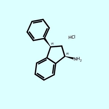 Cl.N[C@@H]1C[C@H](c2ccccc2)c2ccccc21